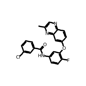 Cc1cnc2ccc(Oc3cc(NC(=O)c4cccc(Cl)c4)ccc3F)cc2n1